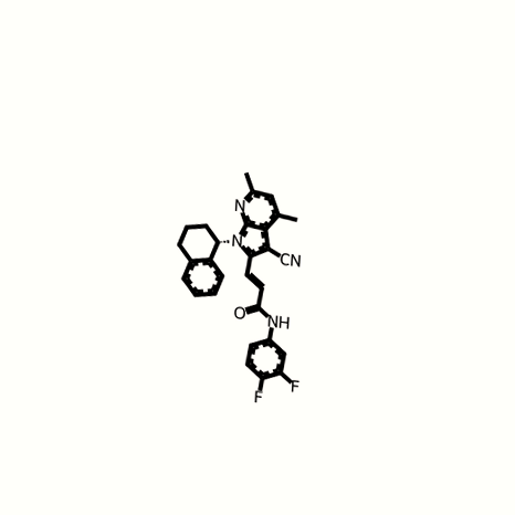 Cc1cc(C)c2c(C#N)c(/C=C/C(=O)Nc3ccc(F)c(F)c3)n([C@H]3CCCc4ccccc43)c2n1